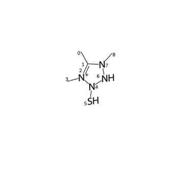 CC1=[N+](C)N(S)NN1C